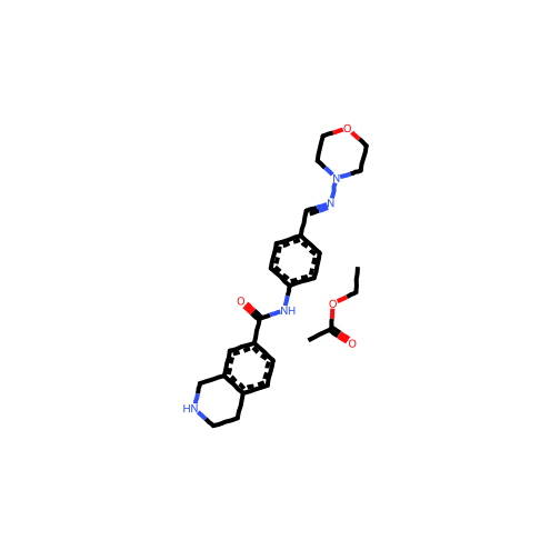 CCOC(C)=O.O=C(Nc1ccc(C=NN2CCOCC2)cc1)c1ccc2c(c1)CNCC2